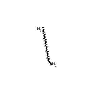 CCCCCCCCCCCCCCCCCCCCCCCCCCCC#CN